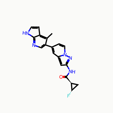 Cc1c(-c2ccn3nc(NC(=O)[C@H]4C[C@@H]4F)cc3c2)cnc2[nH]ccc12